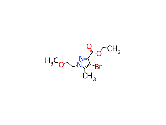 CCOC(=O)c1nn(CCOC)c(C)c1Br